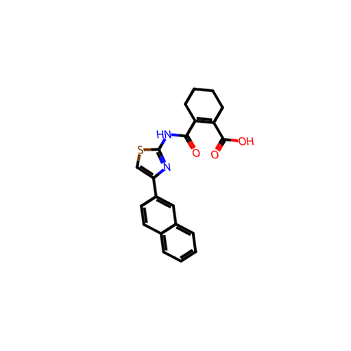 O=C(O)C1=C(C(=O)Nc2nc(-c3ccc4ccccc4c3)cs2)CCCC1